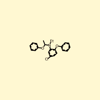 CCN(c1cc(Cl)ccc1Oc1ccccc1)C(C)Oc1ccccc1